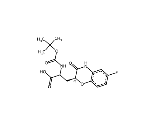 CC(C)(C)OC(=O)NC(C[C@@H]1Oc2ccc(F)cc2NC1=O)C(=O)O